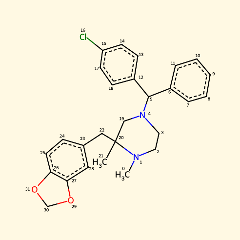 CN1CCN(C(c2ccccc2)c2ccc(Cl)cc2)CC1(C)Cc1ccc2c(c1)OCO2